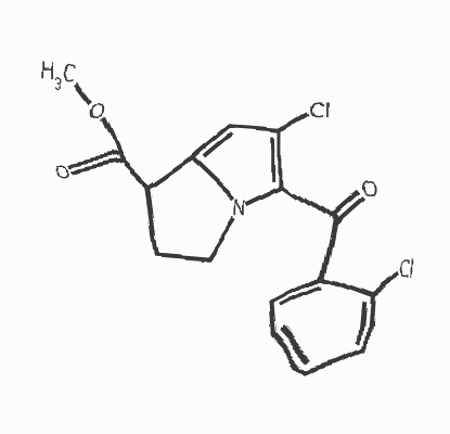 COC(=O)C1CCn2c1cc(Cl)c2C(=O)c1ccccc1Cl